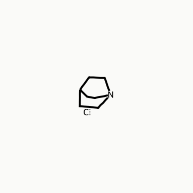 C1CN2CCC1CC2.[C]